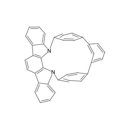 c1cc2cc(c1)c1ccc(cc1)n1c3ccccc3c3ccc4c5ccccc5n(c5ccc2cc5)c4c31